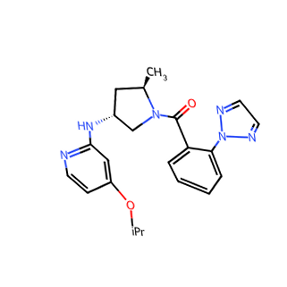 CC(C)Oc1ccnc(N[C@@H]2C[C@@H](C)N(C(=O)c3ccccc3-n3nccn3)C2)c1